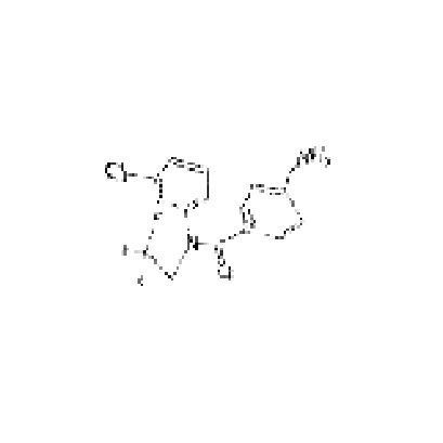 Nc1ccc(C(=O)N(CC(F)(F)F)c2cccc(Cl)c2)cc1